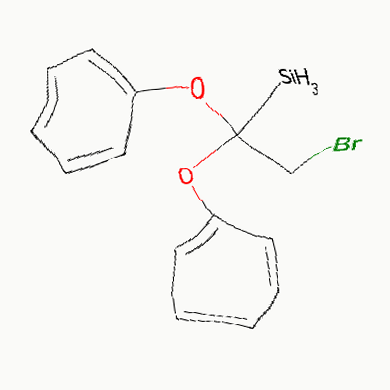 [SiH3]C(CBr)(Oc1ccccc1)Oc1ccccc1